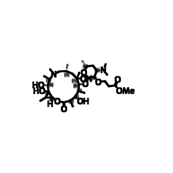 COC(=O)CCO[C@H]1[C@H](O[C@@H]2[C@@H](C)[C@H](O)[C@@H](C)C(=O)O[C@@H]3C(C)[C@]3(O)[C@H](O)[C@@H](C)N(C)C[C@H](C)C[C@]2(C)O)O[C@H](C)C[C@@H]1N(C)C